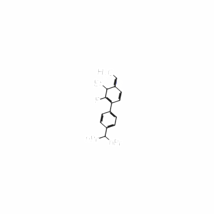 C/C=C1/C=CC(c2ccc(C(CCC)CCC)cc2)=C(F)C1CC